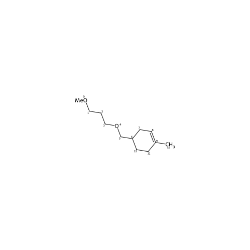 COCCCOCC1CC=C(C)CC1